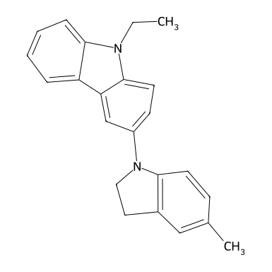 CCn1c2ccccc2c2cc(N3CCc4cc(C)ccc43)ccc21